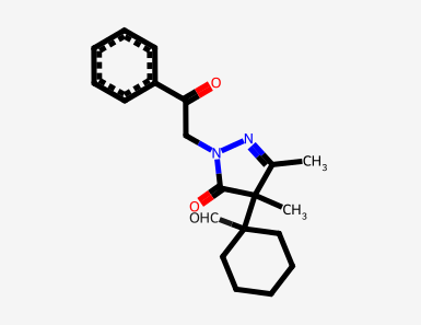 CC1=NN(CC(=O)c2ccccc2)C(=O)C1(C)C1(C=O)CCCCC1